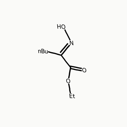 CCCC/C(=N\O)C(=O)OCC